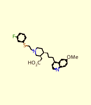 COc1ccc2nccc(CCC[C@@H]3CCN(CCSc4cccc(F)c4)C[C@@H]3CC(=O)O)c2c1